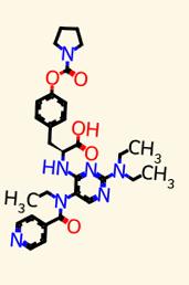 CCN(CC)c1ncc(N(CC)C(=O)c2ccncc2)c(N[C@@H](Cc2ccc(OC(=O)N3CCCC3)cc2)C(=O)O)n1